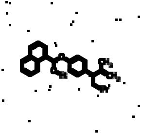 C=C(C)C(CC(C)C)c1ccc(OC(OCC)c2cccc3ccccc23)cc1